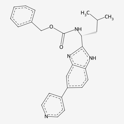 CC(C)C[C@@H](NC(=O)OCc1ccccc1)c1nc2cc(-c3ccncc3)ccc2[nH]1